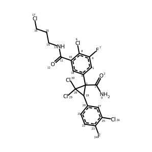 NC(=O)C1(c2cc(F)c(Cl)c(C(=O)NCCCCl)c2)C(c2ccc(F)c(Cl)c2)C1(Cl)Cl